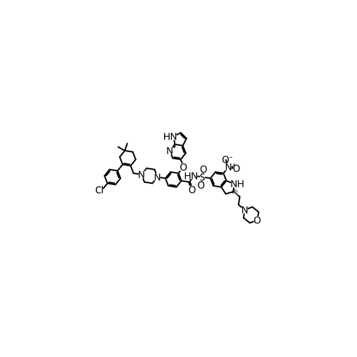 CC1(C)CCC(CN2CCN(c3ccc(C(=O)NS(=O)(=O)c4cc5c(c([N+](=O)[O-])c4)N[C@@H](CCN4CCOCC4)C5)c(Oc4cnc5[nH]ccc5c4)c3)CC2)=C(c2ccc(Cl)cc2)C1